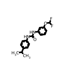 CC(C)c1ccc(NC(=O)Nc2cccc(OC(F)F)c2)cc1